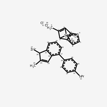 CC1=C2c3sccc3C1[Si]2(C)C.CCCc1ccc(-c2cccc3c2C=C(C)[CH]3[Zr+2])cc1.[Cl-].[Cl-]